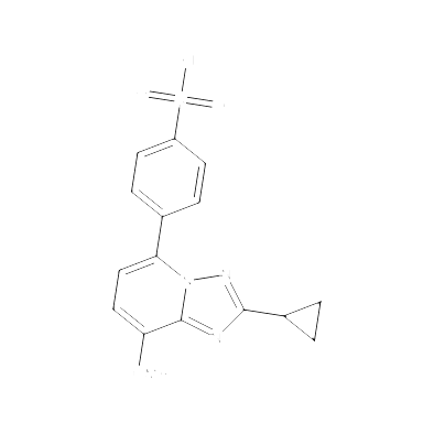 COc1ccc(-c2ccc(S(C)(=O)=O)cc2)n2nc(C3CC3)nc12